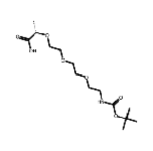 C[C@H](OCCOCCOCCNC(=O)OC(C)(C)C)C(=O)O